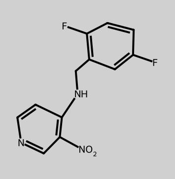 O=[N+]([O-])c1cnccc1NCc1cc(F)ccc1F